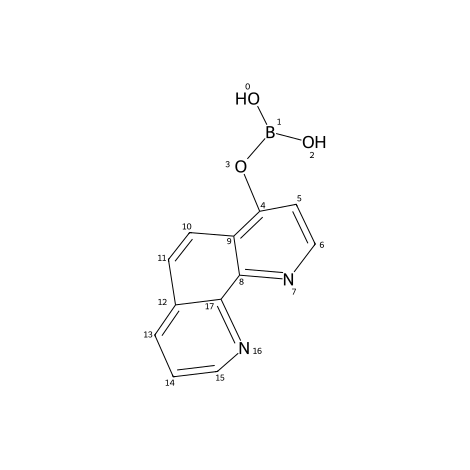 OB(O)Oc1ccnc2c1ccc1cccnc12